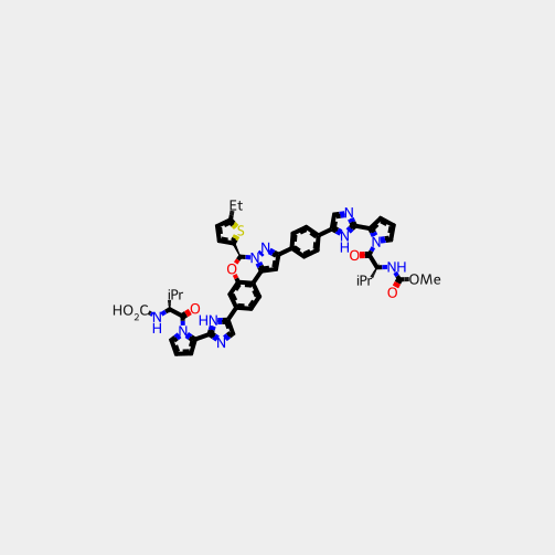 CCc1ccc([C@@H]2Oc3cc(-c4cnc(-c5cccn5C(=O)[C@@H](NC(=O)O)C(C)C)[nH]4)ccc3-c3cc(-c4ccc(-c5cnc(-c6cccn6C(=O)[C@@H](NC(=O)OC)C(C)C)[nH]5)cc4)nn32)s1